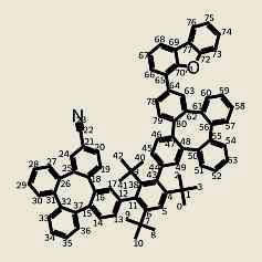 CC(C)(C)c1cc(C(C)(C)C)c(-c2ccc3c(c2)-c2ccc(C#N)cc2-c2ccccc2-c2ccccc2-3)c(C(C)(C)C)c1-c1ccc2c(c1)-c1ccccc1-c1ccccc1-c1cc(-c3cccc4c3oc3ccccc34)ccc1-2